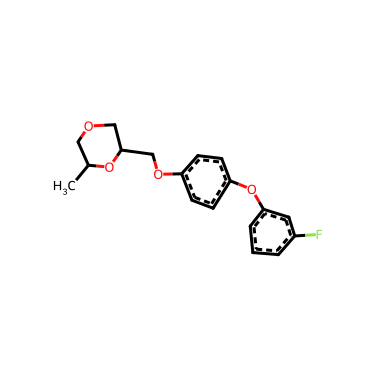 CC1COCC(COc2ccc(Oc3cccc(F)c3)cc2)O1